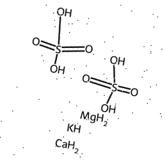 O=S(=O)(O)O.O=S(=O)(O)O.[CaH2].[KH].[MgH2]